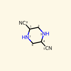 N#CC1CNC(C#N)CN1